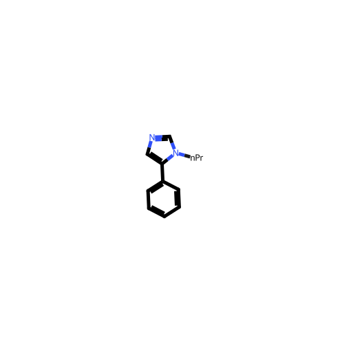 CCCn1cncc1-c1ccccc1